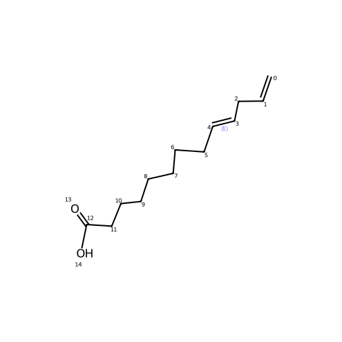 C=CC/C=C/CCCCCCCC(=O)O